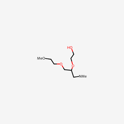 CNCC(COCCOC)OCCO